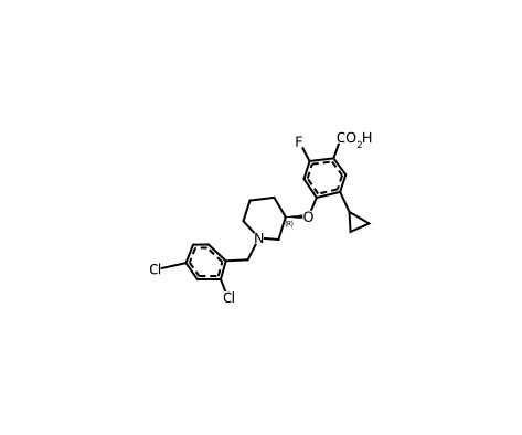 O=C(O)c1cc(C2CC2)c(O[C@@H]2CCCN(Cc3ccc(Cl)cc3Cl)C2)cc1F